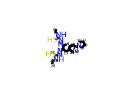 CCN/C(S)=N/N=C(C)/C(Cc1ccc(N2CCCC2)nc1)=N/N=C(\S)NCC